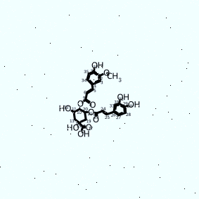 COc1cc(/C=C/C(=O)O[C@H]2C(O)C[C@](O)(C(=O)O)CC2OC(=O)/C=C/c2ccc(O)c(O)c2)ccc1O